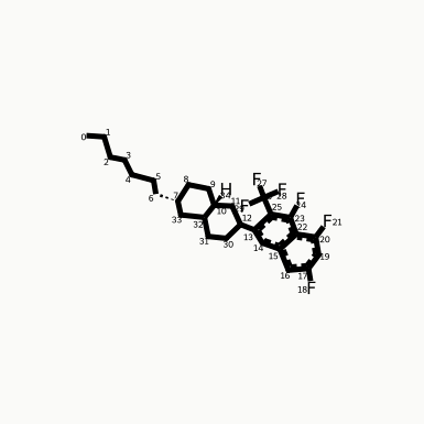 CCCCCCC[C@@H]1CC[C@@H]2CC(c3cc4cc(F)cc(F)c4c(F)c3C(F)(F)F)CCC2C1